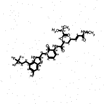 CNC(=O)/C=C/CC[C@H](OC(=O)N(C)C)C(=O)Nc1cccn(Cc2nc3cc(F)cc(CCC(F)(F)F)c3[nH]2)c1=O